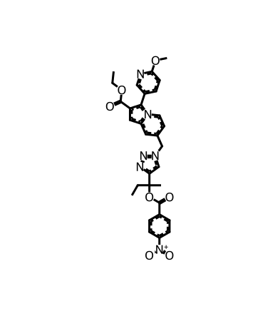 CCOC(=O)c1cc2cc(Cn3cc(C(C)(CC)OC(=O)c4ccc([N+](=O)[O-])cc4)nn3)ccn2c1-c1ccc(OC)nc1